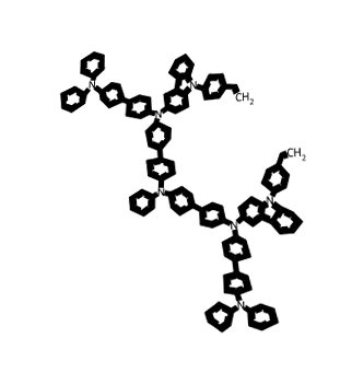 C=Cc1ccc(-n2c3ccccc3c3cc(N(c4ccc(-c5ccc(N(c6ccccc6)c6ccccc6)cc5)cc4)c4ccc(-c5ccc(N(c6ccccc6)c6ccc(-c7ccc(N(c8ccc(-c9ccc(N(c%10ccccc%10)c%10ccccc%10)cc9)cc8)c8ccc9c(c8)c8ccccc8n9-c8ccc(C=C)cc8)cc7)cc6)cc5)cc4)ccc32)cc1